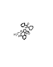 CC[C@H]1Nc2ccccc2[C@H]2[C@@H]1CCN2C(=O)[C@H]1CCCC[C@H]1NC(=O)c1ccccc1